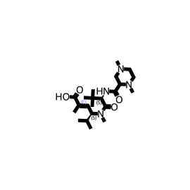 C/C(=C\[C@H](C(C)C)N(C)C(=O)[C@@H](NC(=O)C1CN(C)CCN1C)C(C)(C)C)C(=O)O